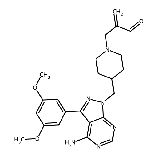 C=C(C=O)CN1CCC(Cn2nc(-c3cc(OC)cc(OC)c3)c3c(N)ncnc32)CC1